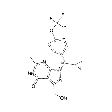 Cc1nc2c(c(CO)nn2[C@H](c2ccc(OC(F)(F)F)cc2)C2CC2)c(=O)[nH]1